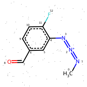 CN=[N+]=Nc1cc(C=O)ccc1F